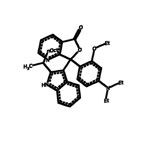 CCCCCCCCC(C)c1[nH]c2ccccc2c1C1(c2ccc(N(CC)CC)cc2OCC)OC(=O)c2cccnc21